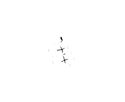 CC(C)(C)[Si](C)(C)C(C)(C)NC=O